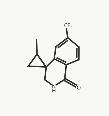 CC1CC12CNC(=O)c1ccc(C(F)(F)F)cc12